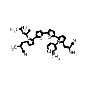 C=C/C(=C\CC)n1c(/C=C(/C)C#N)ccc1-c1ccc(-c2ccc(-c3ccc(/C=C(/N)C#N)n3C(/C=C\C)=C/CC)s2)s1